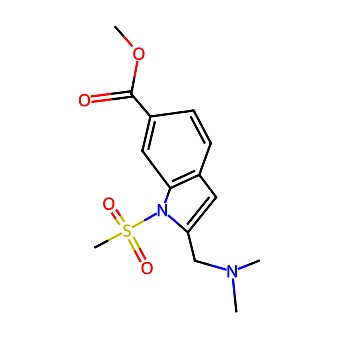 COC(=O)c1ccc2cc(CN(C)C)n(S(C)(=O)=O)c2c1